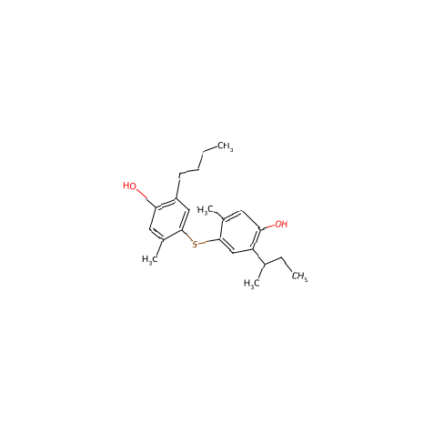 CCCCc1cc(Sc2cc(C(C)CC)c(O)cc2C)c(C)cc1O